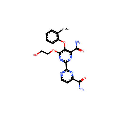 COc1ccccc1Oc1c(OCCO)nc(-c2nccc(C(N)=O)n2)nc1C(N)=O